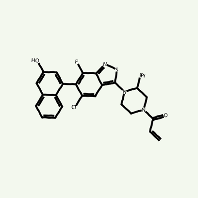 C=CC(=O)N1CCN(c2snc3c(F)c(-c4cc(O)cc5ccccc45)c(Cl)cc23)C(C(C)C)C1